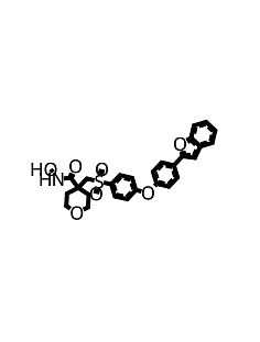 O=C(NO)C1(CS(=O)(=O)c2ccc(Oc3ccc(-c4cc5ccccc5o4)cc3)cc2)CCOCC1